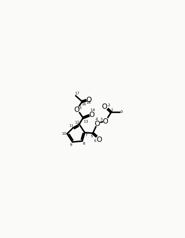 CC(=O)OOC(=O)c1ccccc1C(=O)OC(C)=O